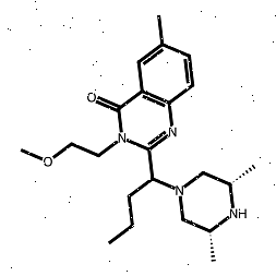 CCCC(c1nc2ccc(C)cc2c(=O)n1CCOC)N1C[C@@H](C)N[C@@H](C)C1